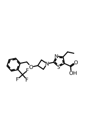 CCc1nc(N2CC(OCc3ccccc3C(F)(F)F)C2)sc1C(=O)O